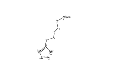 CCCCCCCCCC[CH]c1nnn[nH]1